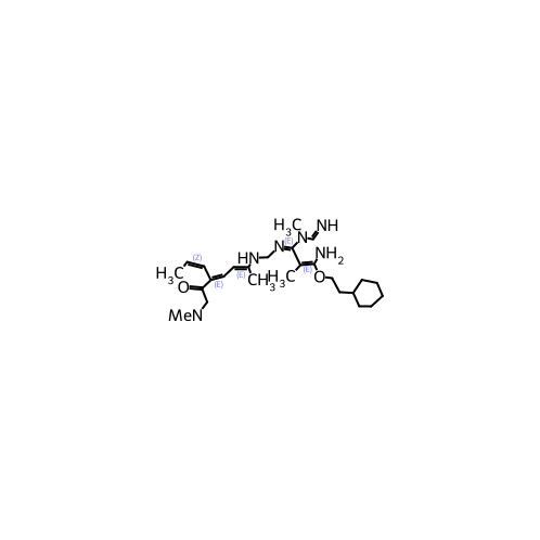 C\C=C/C(=C\C=C(/C)NC/N=C(\C(C)=C(/N)OCCC1CCCCC1)N(C)C=N)C(=O)CNC